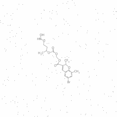 Cc1cc(Br)cc2c1OC(C(F)(F)F)C(C(=O)OCOC(=O)OC(C)CCONO)=C2